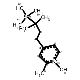 Cc1cc(CCC(C)(C)[Si](C)(C)O)cc[n+]1O